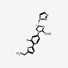 NCc1ccc(-c2ccc(N3C[C@H](Cn4ccnn4)OC3C=O)cc2F)s1